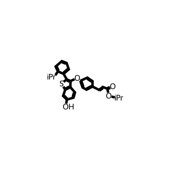 CC(C)OC(=O)C=Cc1ccc(Oc2c(-c3ccccc3C(C)C)sc3cc(O)ccc23)cc1